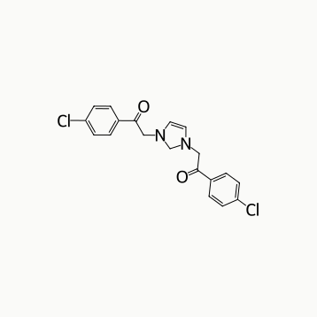 O=C(CN1C=CN(CC(=O)c2ccc(Cl)cc2)C1)c1ccc(Cl)cc1